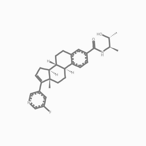 C[C@@H](O)[C@@H](C)NC(=O)c1ccc2c(c1)CC[C@@H]1[C@@H]2CC[C@]2(C)C(c3cncc(F)c3)=CC[C@@H]12